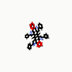 Cc1c(-c2cc(-c3ccccc3)nc(-c3ccccc3)c2)c(-c2cc(-c3ccccc3)nc(-c3ccccc3)c2)c(C)c(-c2cc(-c3ccccc3)nc(-c3ccccc3)c2)c1-c1cc(-c2ccccc2)nc(-c2ccccc2)c1